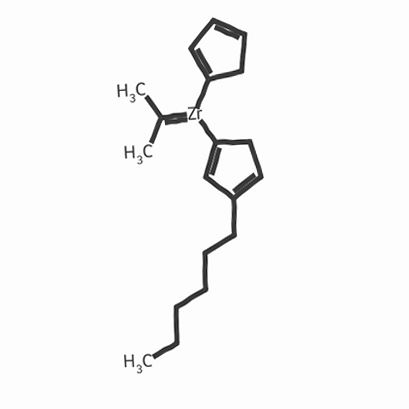 CCCCCCC1=CC[C]([Zr]([C]2=CC=CC2)=[C](C)C)=C1